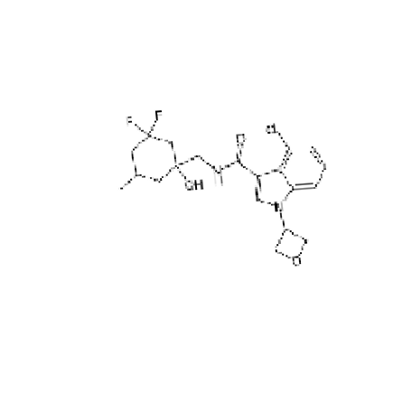 CC1CC(F)(F)CC(O)(CNC(=O)c2cn(C3COC3)c3cccc(Cl)c23)C1